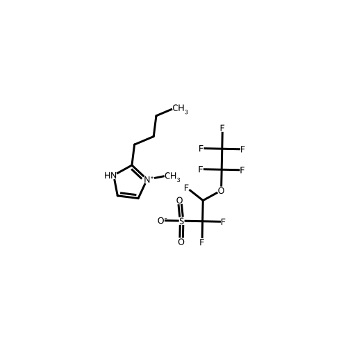 CCCCc1[nH]cc[n+]1C.O=S(=O)([O-])C(F)(F)C(F)OC(F)(F)C(F)(F)F